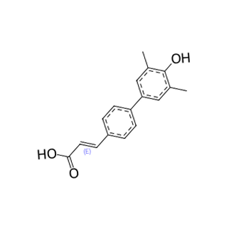 Cc1cc(-c2ccc(/C=C/C(=O)O)cc2)cc(C)c1O